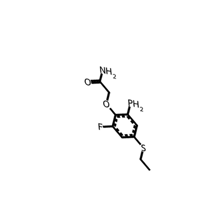 CCSc1cc(F)c(OCC(N)=O)c(P)c1